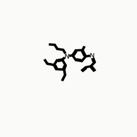 C=CC(=C)/C=N\c1ccc(N(CCCC)c2cc(CC)cc(CC)c2)cc1C